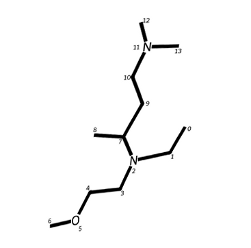 CCN(CCOC)C(C)CCN(C)C